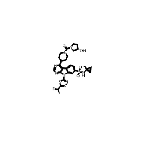 CC1(NS(=O)(=O)c2ccc3c4c(C5CCN(C(=O)N6CC[C@H](O)C6)CC5)ncnc4n(-c4nnc(C(F)F)s4)c3c2)CC1